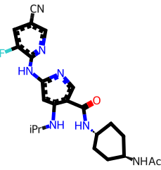 CC(=O)N[C@H]1CC[C@H](NC(=O)c2cnc(Nc3ncc(C#N)cc3F)cc2NC(C)C)CC1